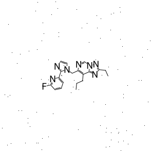 CCCc1c(Cn2ccnc2-c2cccc(F)n2)ncn2nc(CC)nc12